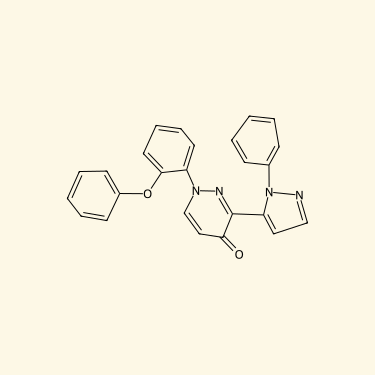 O=c1ccn(-c2ccccc2Oc2ccccc2)nc1-c1ccnn1-c1ccccc1